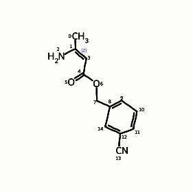 C/C(N)=C/C(=O)OCc1cccc(C#N)c1